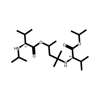 CC(C)N[C@H](C(=O)OC(C)CC(C)(C)N[C@@H](C(=O)OC(C)C)C(C)C)C(C)C